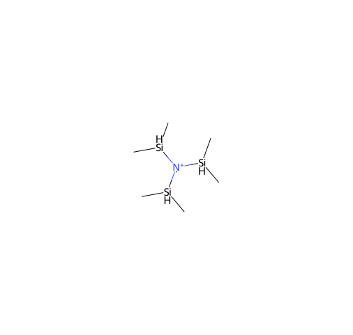 C[SiH](C)[N+]([SiH](C)C)[SiH](C)C